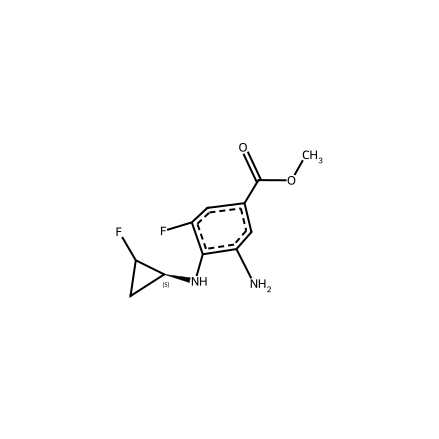 COC(=O)c1cc(N)c(N[C@H]2CC2F)c(F)c1